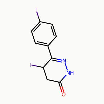 O=C1CC(I)C(c2ccc(I)cc2)=NN1